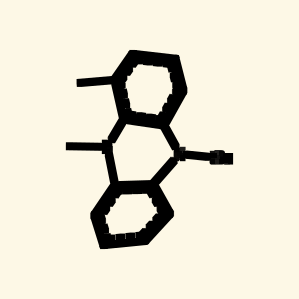 CB1c2ccccc2N(C(C)(C)C)c2cccc(C)c21